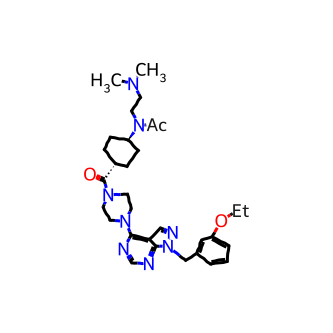 CCOc1cccc(Cn2ncc3c(N4CCN(C(=O)[C@H]5CC[C@H](N(CCN(C)C)C(C)=O)CC5)CC4)ncnc32)c1